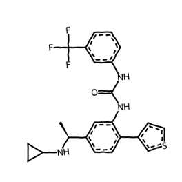 C[C@H](NC1CC1)c1ccc(-c2ccsc2)c(NC(=O)Nc2cccc(C(F)(F)F)c2)c1